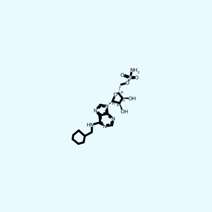 NS(=O)(=O)OC[C@H]1O[C@@H](n2cnc3c(NCC4CCCCC4)ncnc32)[C@H](O)[C@@H]1O